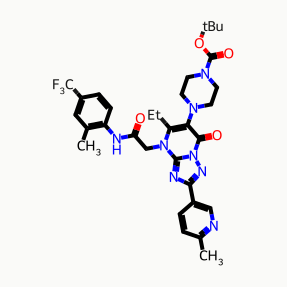 CCc1c(N2CCN(C(=O)OC(C)(C)C)CC2)c(=O)n2nc(-c3ccc(C)nc3)nc2n1CC(=O)Nc1ccc(C(F)(F)F)cc1C